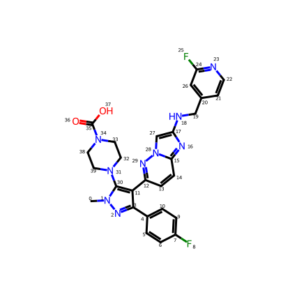 Cn1nc(-c2ccc(F)cc2)c(-c2ccc3nc(NCc4ccnc(F)c4)cn3n2)c1N1CCN(C(=O)O)CC1